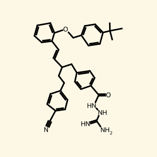 CC(C)(C)c1ccc(COc2ccccc2/C=C/C(CCc2ccc(C#N)cc2)Cc2ccc(C(=O)NNC(=N)N)cc2)cc1